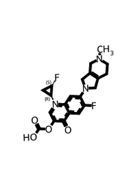 CN1CCC2=C(C1)CN(c1cc3c(cc1F)c(=O)c(OC(=O)O)cn3[C@@H]1C[C@@H]1F)C2